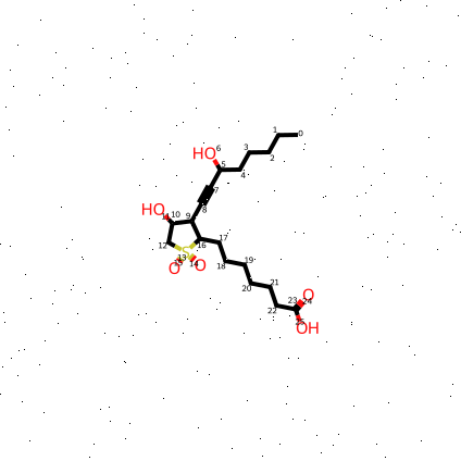 CCCCCC(O)C#CC1C(O)CS(=O)(=O)C1CCCCCCC(=O)O